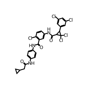 O=C(CC1CC1)Nc1ccc(NC(=O)c2cc(NC(=O)C3C(c4cc(Cl)cc(Cl)c4)C3(Cl)Cl)ccc2Cl)cc1